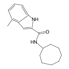 Cc1cccc2[nH]c(C(=O)NC3CCCCCCC3)cc12